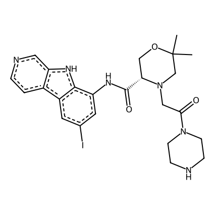 CC1(C)CN(CC(=O)N2CCNCC2)[C@H](C(=O)Nc2cc(I)cc3c2[nH]c2cnccc23)CO1